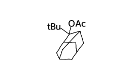 CC(=O)OC1(C(C)(C)C)C2CC3CC(C2)CC1C3